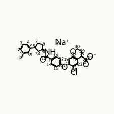 Cc1cccc(C2CCC(NC(=O)c3ccc(Oc4cc5c(cc4Cl)C(C(=O)[O-])CCO5)cc3)C2)c1.[Na+]